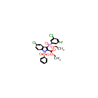 CCOC(=O)c1c(P(=O)(OCC)c2cc(F)cc(Cl)c2)c2cc(Cl)ccc2n1S(=O)(=O)c1ccccc1